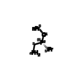 CCCO[P@@](CP)C(C)C